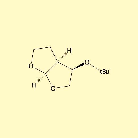 CC(C)(C)O[C@H]1CO[C@H]2OCC[C@H]21